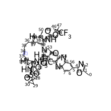 Cc1cnc(-c2ccc3nc(C(F)(F)F)c(O[C@@H]4C[C@H]5C(=O)N[C@]6(C(=O)NS(=O)(=O)C7(C)CC7)C[C@H]6/C=C\CC[C@H]6C=C([C@@H](NC(=O)OC(C)(C)C(F)(F)F)[C@H](C)C6)N5C4)nc3c2)o1